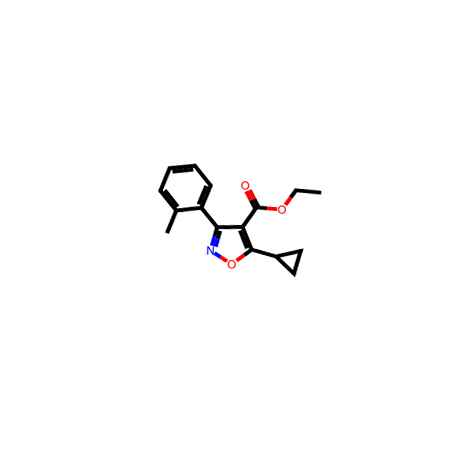 CCOC(=O)c1c(-c2ccccc2C)noc1C1CC1